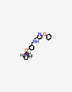 CN1[C@@H]2CC[C@H]1C[C@H](Oc1cccc(CNCc3ccc(Oc4ccccc4)nc3)c1)C2